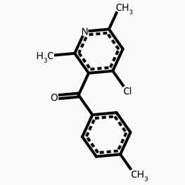 Cc1ccc(C(=O)c2c(Cl)cc(C)nc2C)cc1